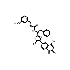 COc1cccc(CNC(=O)N[C@@H](Cc2ccccc2)c2nc(-c3ccc4[nH]c(=O)cc(O)c4c3)c(Cl)[nH]2)c1